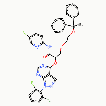 CC(C)(C)[Si](OCCOCC(Oc1ncnc2c1cnn2-c1c(F)cccc1Cl)C(=O)Nc1ccc(F)cn1)(c1ccccc1)c1ccccc1